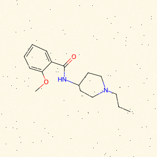 [CH2]CCN1CCC(NC(=O)c2ccccc2OC)CC1